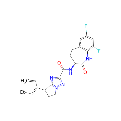 C=C/C(=C\CC)C1CCn2nc(C(=O)N[C@H]3CCc4cc(F)cc(F)c4NC3=O)nc21